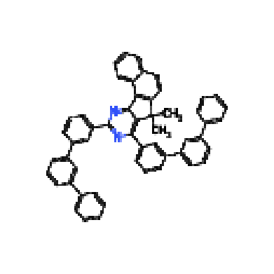 CC1(C)c2ccc3ccccc3c2-c2nc(-c3cccc(-c4cccc(-c5ccccc5)c4)c3)nc(-c3cccc(-c4cccc(-c5ccccc5)c4)c3)c21